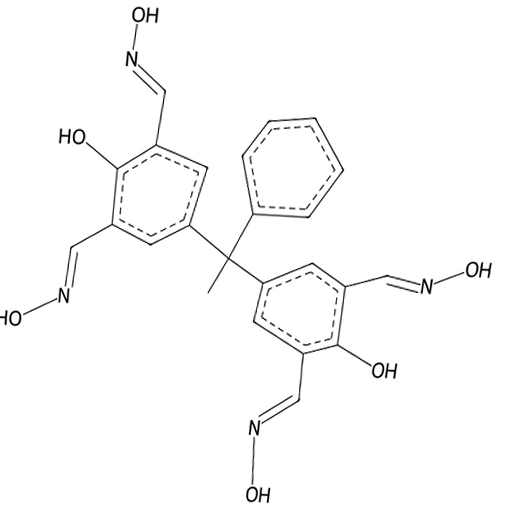 CC(c1ccccc1)(c1cc(C=NO)c(O)c(C=NO)c1)c1cc(C=NO)c(O)c(C=NO)c1